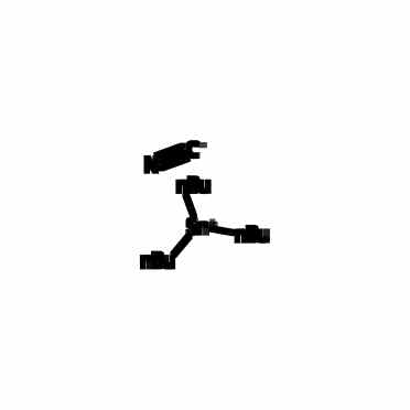 CCC[CH2][Sn+]([CH2]CCC)[CH2]CCC.[C-]#N